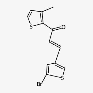 Cc1ccsc1C(=O)C=Cc1csc(Br)c1